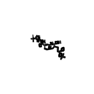 CC(C)(C)OC(=O)C=CC1=C(O)N=C2C=C(C(=O)Nc3nc(C(C)(C)C)cs3)C=CN2C1